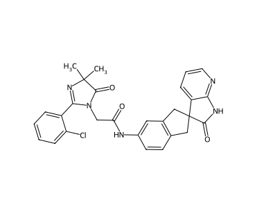 CC1(C)N=C(c2ccccc2Cl)N(CC(=O)Nc2ccc3c(c2)CC2(C3)C(=O)Nc3ncccc32)C1=O